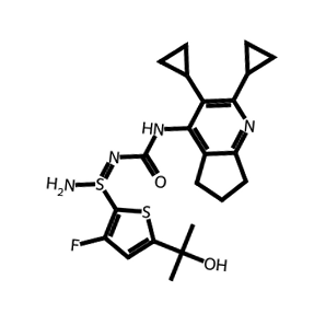 CC(C)(O)c1cc(F)c(/S(N)=N\C(=O)Nc2c3c(nc(C4CC4)c2C2CC2)CCC3)s1